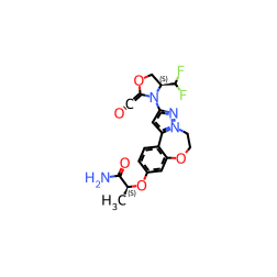 C[C@H](Oc1ccc2c(c1)OCCn1nc(N3C(=C=O)OC[C@H]3C(F)F)cc1-2)C(N)=O